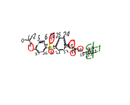 CC(C)Oc1ccc(S(=O)(=O)c2ccc(OC(=O)OCC(Cl)(Cl)Cl)cc2)cc1